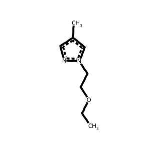 CCOCCn1cc(C)cn1